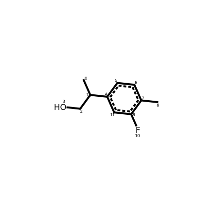 C[C](CO)c1ccc(C)c(F)c1